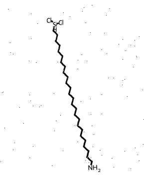 NCCCCCCCCCCCCCCCCCCCCCCCCCC[SiH](Cl)Cl